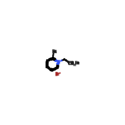 CCOC(=O)C[n+]1ccccc1CC.[Br-]